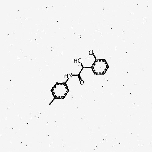 Cc1ccc(NC(=O)C(O)c2ccccc2Cl)cc1